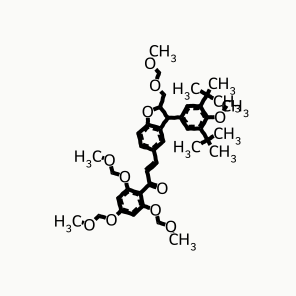 COCOCC1Oc2ccc(C=CC(=O)c3c(OCOC)cc(OCOC)cc3OCOC)cc2C1c1cc(C(C)(C)C)c(OC)c(C(C)(C)C)c1